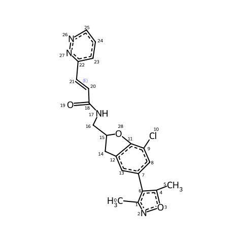 Cc1noc(C)c1-c1cc(Cl)c2c(c1)CC(CNC(=O)/C=C/c1cccnn1)O2